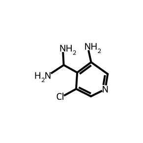 Nc1cncc(Cl)c1C(N)N